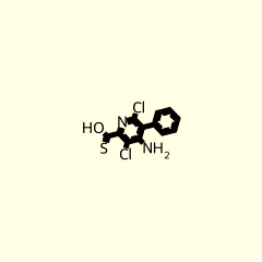 Nc1c(Cl)c(C(O)=S)nc(Cl)c1-c1ccccc1